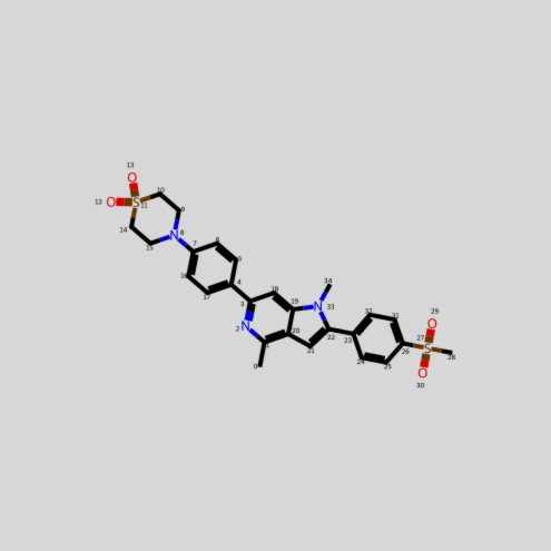 Cc1nc(-c2ccc(N3CCS(=O)(=O)CC3)cc2)cc2c1cc(-c1ccc(S(C)(=O)=O)cc1)n2C